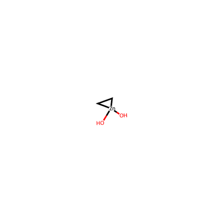 [OH][Zn]1([OH])[CH2][CH2]1